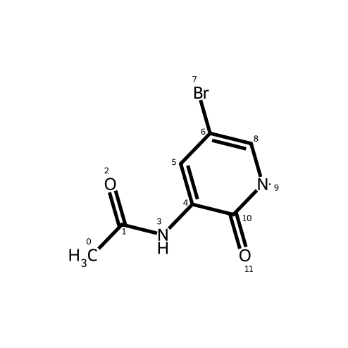 CC(=O)NC1=CC(Br)=C[N]C1=O